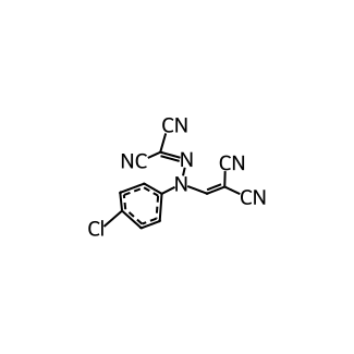 N#CC(C#N)=CN(N=C(C#N)C#N)c1ccc(Cl)cc1